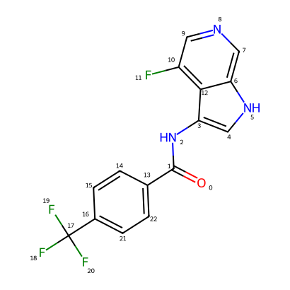 O=C(Nc1c[nH]c2cncc(F)c12)c1ccc(C(F)(F)F)cc1